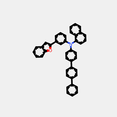 c1ccc(-c2ccc(-c3ccc(N(c4cccc(-c5cc6ccccc6o5)c4)c4cccc5ccccc45)cc3)cc2)cc1